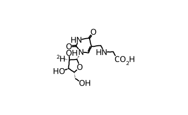 [2H][C@@]1(O)[C@H](O)[C@@H](CO)O[C@H]1n1cc(CNCC(=O)O)c(=O)[nH]c1=O